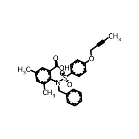 CC#CCOc1ccc(S(=O)(=O)N(Cc2ccccc2)c2c(C)cc(C)cc2C(=O)O)cc1